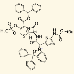 CC(C)(C)OC(=O)Nc1nc(/C(=N/OC(c2ccccc2)(c2ccccc2)c2ccccc2)C(=O)N[C@@H]2C(=O)N3C(C(=O)OC(c4ccccc4)c4ccccc4)=C(OS(C)(=O)=O)CS[C@H]23)cs1